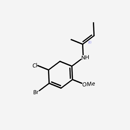 C/C=C(\C)NC1=C(OC)C=C(Br)C(Cl)C1